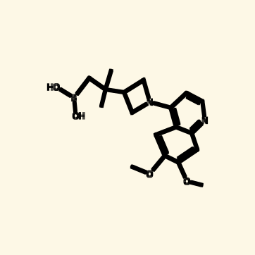 COc1cc2nccc(N3CC(C(C)(C)CB(O)O)C3)c2cc1OC